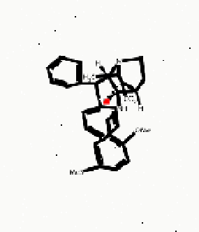 COc1ccc(SC)cc1CN[C@H]1[C@H]2CCN(C(C)[C@@H]2C(=O)O)[C@H]1C(c1ccccc1)c1ccccc1